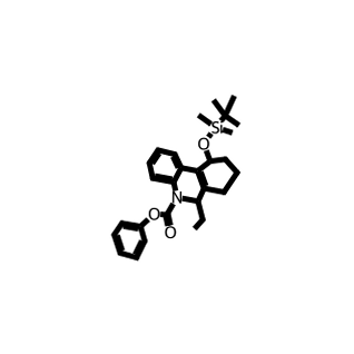 CCC1C2=C(c3ccccc3N1C(=O)Oc1ccccc1)C(O[Si](C)(C)C(C)(C)C)CCC2